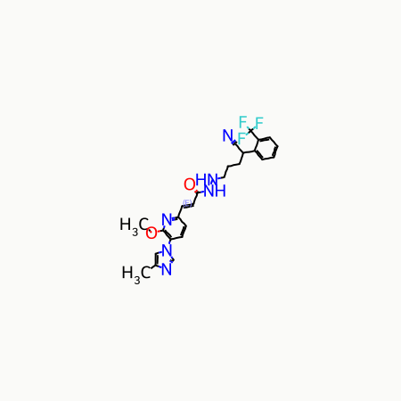 COc1nc(/C=C/C(=O)NNCCCC(C#N)c2ccccc2C(F)(F)F)ccc1-n1cnc(C)c1